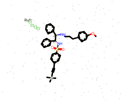 COc1ccc(CCCN[C@H](c2ccccc2)[C@H](NS(=O)(=O)c2ccc(C#C[Si](C)(C)C)cc2)c2ccccc2)cc1.[Cl-].[Cl-].[Cl-].[Cl-].[Ru+4]